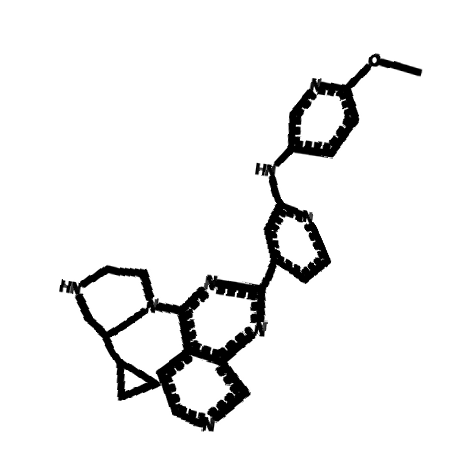 COc1ccc(Nc2cc(-c3nc(N4CCNCC4C4CC4)c4ccncc4n3)ccn2)cn1